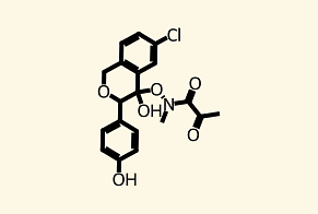 CC(=O)C(=O)N(C)OC1(O)c2cc(Cl)ccc2COC1c1ccc(O)cc1